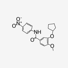 COc1ccc(C(=O)Nc2ccc([N+](=O)[O-])cc2)cc1OC1CCCC1